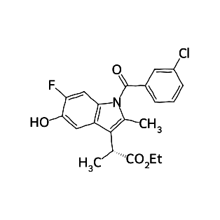 CCOC(=O)[C@H](C)c1c(C)n(C(=O)c2cccc(Cl)c2)c2cc(F)c(O)cc12